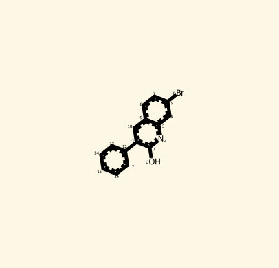 Oc1nc2cc(Br)ccc2cc1-c1ccccc1